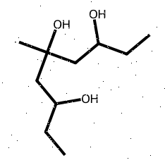 [CH2]C(O)(CC(O)CC)CC(O)CC